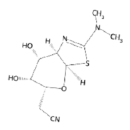 CN(C)C1=N[C@@H]2[C@@H](O)[C@@H](O)[C@@H](CC#N)O[C@@H]2S1